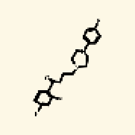 O=C(CCCN1CCN(c2ccc(F)cc2)CC1)c1ccc(F)cc1F